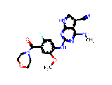 CNc1nc(Nc2cc(F)c(C(=O)N3CCOCC3)cc2OC)nc2[nH]cc(C#N)c12